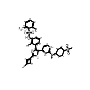 CS(=O)(=O)C1CCC(Nc2nccc(-c3sc(C45CC(F)(C4)C5)nc3-c3cccc(NS(=O)(=O)c4c(F)cccc4C(F)(F)F)c3F)n2)CC1